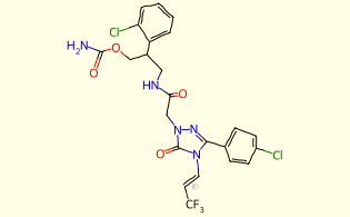 NC(=O)OCC(CNC(=O)Cn1nc(-c2ccc(Cl)cc2)n(/C=C/C(F)(F)F)c1=O)c1ccccc1Cl